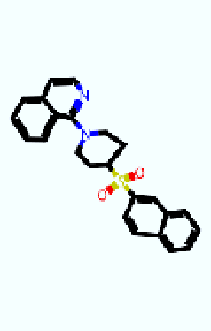 O=S(=O)(c1ccc2ccccc2c1)C1CCN(c2nccc3ccccc23)CC1